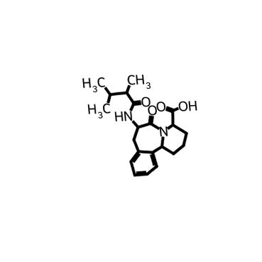 CC(C)C(C)C(=O)NC1Cc2ccccc2C2CCCC(C(=O)O)N2C1=O